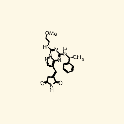 COCCNc1nc(N[C@@H](C)c2ccccc2)nc2c(/C=C3\CC(=O)NC3=O)cnn12